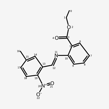 CCOC(=O)c1ccccc1N=Cc1cc(C)ccc1[N+](=O)[O-]